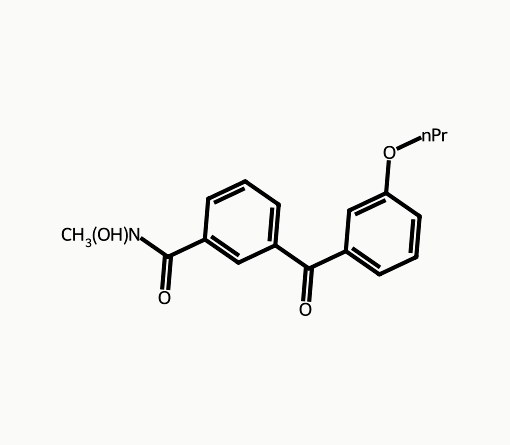 CCCOc1cccc(C(=O)c2cccc(C(=O)N(C)O)c2)c1